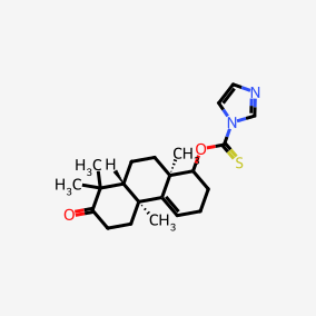 CC1(C)C(=O)CC[C@]2(C)C3=CCCC(OC(=S)n4ccnc4)[C@]3(C)CC[C@@H]12